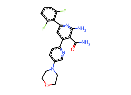 NC(=O)c1c(-c2ccc(N3CCOCC3)cn2)cc(-c2c(F)cccc2F)nc1N